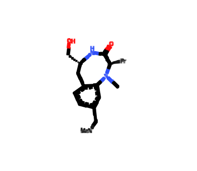 CNCc1ccc2c(c1)N(C)[C@H](C(C)C)C(=O)N[C@@H](CO)C2